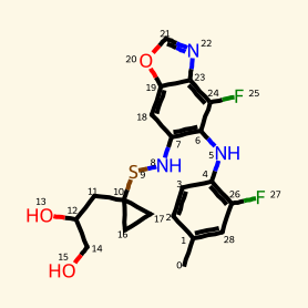 Cc1ccc(Nc2c(NSC3(CC(O)CO)CC3)cc3ocnc3c2F)c(F)c1